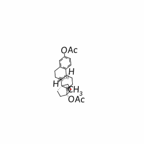 CC(=O)Oc1ccc2c(c1)CC[C@@H]1[C@@H]2CC[C@]2(C)[C@]3(OC(C)=O)CC[C@@]12CC3